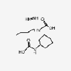 CCCCNC(=O)O.N=N.O=C(O)NC1CCCCC1